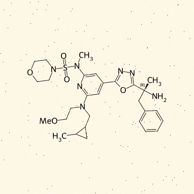 COCCN(CC1CC1C)c1cc(-c2nnc([C@](C)(N)Cc3ccccc3)o2)cc(N(C)S(=O)(=O)N2CCOCC2)n1